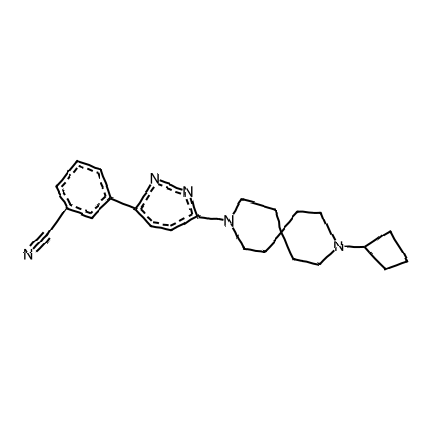 N#Cc1cccc(-c2ccc(N3CCC4(CC3)CCN(C3CCC3)CC4)nn2)c1